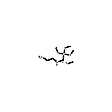 CC[C@H](NCCN)[Si](OC)(OC)OC